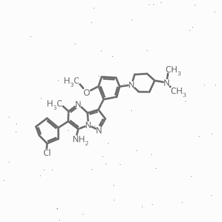 COc1ccc(N2CCC(N(C)C)CC2)cc1-c1cnn2c(N)c(-c3cccc(Cl)c3)c(C)nc12